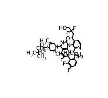 CC(C)c1nccc(CCC(F)(F)CO)c1-n1c(=O)nc(N2C[C@@H](C)N(C(=O)OC(C)(C)C)C[C@@H]2C)c2cc(F)c(-c3c(O)ccc(F)c3F)nc21